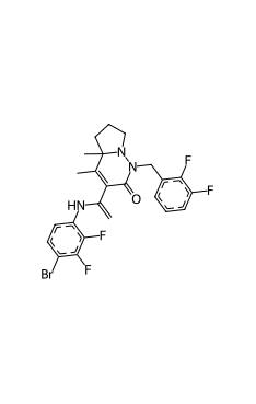 C=C(Nc1ccc(Br)c(F)c1F)C1=C(C)C2(C)CCCN2N(Cc2cccc(F)c2F)C1=O